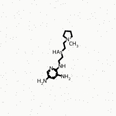 C[N+]1(CC[AsH]CCNc2ncc(N)cc2N)CCCC1